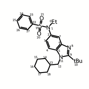 CCN(c1ccc2c(c1)nc(C(C)(C)C)n2CC1CCCCC1)S(=O)(=O)c1ccccc1